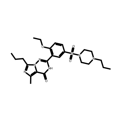 CCCc1nc(C)c2c(=O)[nH]c(-c3cc(S(=O)(=O)N4CCN(CCC)CC4)ccc3OCC)nn12